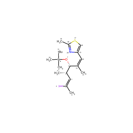 CC(I)=C[C@H](C)[C@H](O[Si](C)(C)C(C)(C)C)C(C)=Cc1csc(C)n1